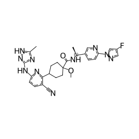 COC1(C(=O)N[C@@H](C)c2ccc(-n3cc(F)cn3)nc2)CCC(c2nc(Nc3n[nH]c(C)n3)ccc2C#N)CC1